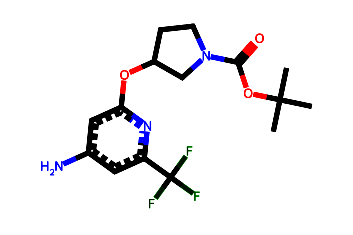 CC(C)(C)OC(=O)N1CCC(Oc2cc(N)cc(C(F)(F)F)n2)C1